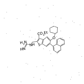 CCOC(=O)c1c(CNC(=N)N)sc2cc(-c3cccc4ccccc34)c(OC3CCCCC3)cc12